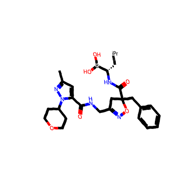 Cc1cc(C(=O)NCC2=NOC(Cc3ccccc3)(C(=O)N[C@@H](CC(C)C)B(O)O)C2)n(C2CCOCC2)n1